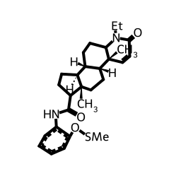 CCN1C(=O)C=C[C@@]2(C)C1CC[C@@H]1[C@H]2CC[C@]2(C)C(C(=O)Nc3ccccc3OSC)CC[C@@H]12